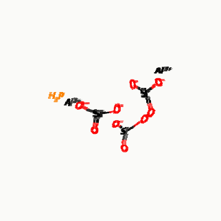 O=[Si]([O-])[O-].O=[Si]([O-])[O-].O=[Si]([O-])[O-].P.[Al+3].[Al+3]